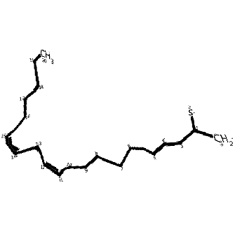 [CH2]C([S])CCCCCCCC/C=C\C/C=C\CCCCC